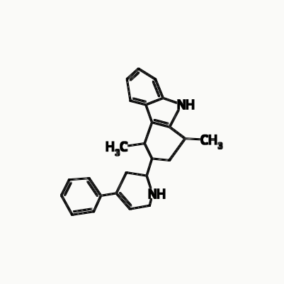 CC1CC(C2CC(c3ccccc3)=CCN2)C(C)c2c1[nH]c1ccccc21